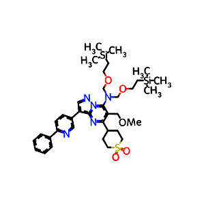 COCc1c(C2CCS(=O)(=O)CC2)nc2c(-c3ccc(-c4ccccc4)nc3)cnn2c1N(COCC[Si](C)(C)C)COCC[Si](C)(C)C